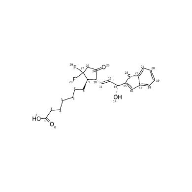 O=C(O)CCCCCC[C@@H]1[C@@H](C=C[C@@H](O)c2cc3ccccc3s2)C(=O)CC1(F)F